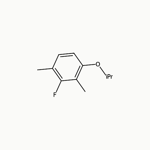 Cc1ccc(OC(C)C)c(C)c1F